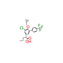 CCCC(C(=O)O)c1cc(Cl)c(OCC2CC2)c(-c2ccc(C(F)(F)F)cc2)c1